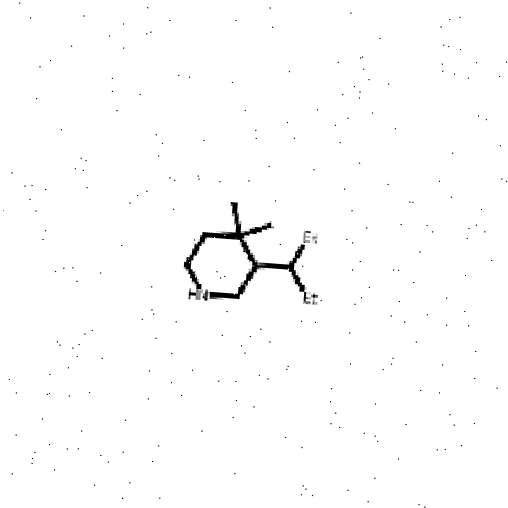 CCC(CC)C1CNCCC1(C)C